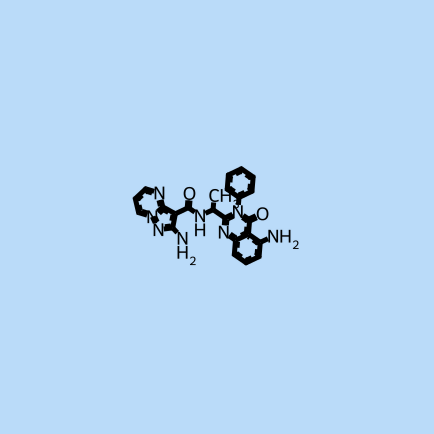 CC(NC(=O)c1c(N)nn2cccnc12)c1nc2cccc(N)c2c(=O)n1-c1ccccc1